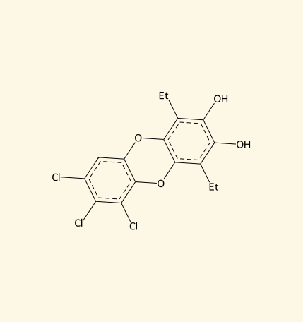 CCc1c(O)c(O)c(CC)c2c1Oc1cc(Cl)c(Cl)c(Cl)c1O2